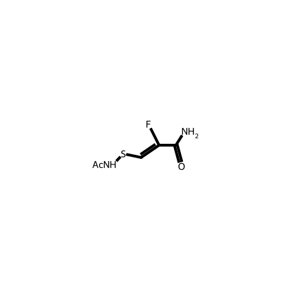 CC(=O)NSC=C(F)C(N)=O